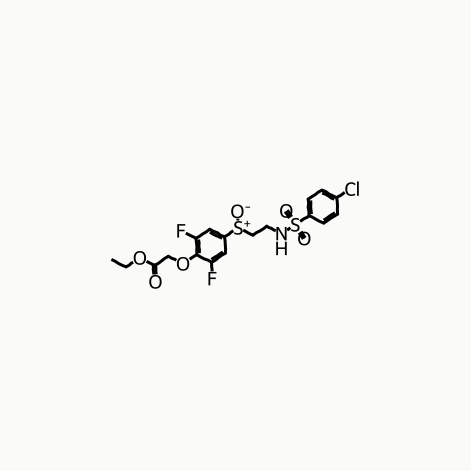 CCOC(=O)COc1c(F)cc([S+]([O-])CCNS(=O)(=O)c2ccc(Cl)cc2)cc1F